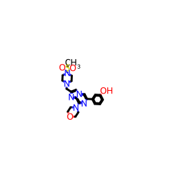 CS(=O)(=O)N1CCN(Cc2cn3cc(-c4cccc(O)c4)nc(N4CCOCC4)c3n2)CC1